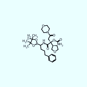 CC1(C)OB(C(CCCc2ccccc2)NC(=O)[C@](CC(=O)N2CCOCC2)(OC(N)=O)[C@H]2CCOC2)OC1(C)C